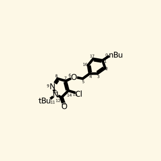 CCCCc1ccc(COc2cnn(C(C)(C)C)c(=O)c2Cl)cc1